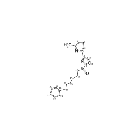 Cc1cccc(-c2noc(C(=O)CCCCCCc3ccccc3)n2)n1